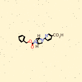 O=C(O)c1ccc(N2C[C@@H]3C[C@H]2CN3C(=O)OCc2ccccc2)nc1